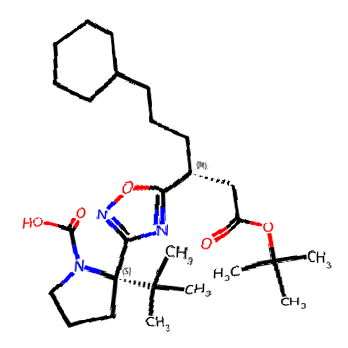 CC(C)(C)OC(=O)C[C@@H](CCCC1CCCCC1)c1nc([C@@]2(C(C)(C)C)CCCN2C(=O)O)no1